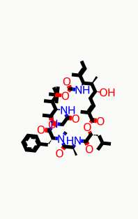 C/C=C(\C)[C@@H](NC(=O)OC(C)(C)C)[C@@H](C)[C@H](O)C/C=C(\C)C(=O)O[C@H](CC(C)C)C(=O)N[C@@H](C)C(=O)N(C)[C@H](Cc1ccccc1)C(=O)N(C)CC(=O)N[C@H](C(C)=O)C(C)CC